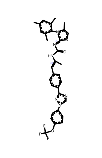 C/C(=C\c1ccc(-c2ncn(-c3ccc(OC(F)(F)F)cc3)n2)cc1)NC(=O)/N=c1\scc(C)n1-c1c(C)cc(C)cc1C